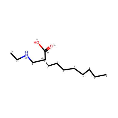 CCCCCCCC[C@H](CNCC)C(=O)O